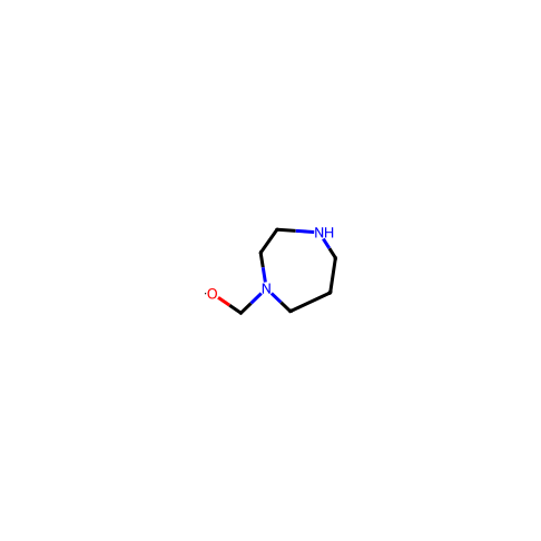 [O]CN1CCCNCC1